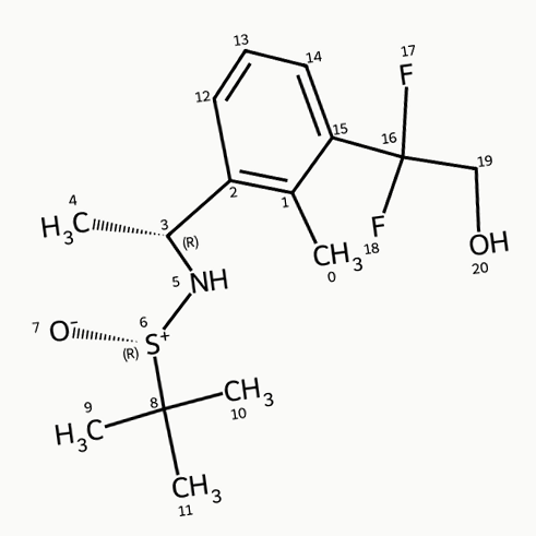 Cc1c([C@@H](C)N[S@@+]([O-])C(C)(C)C)cccc1C(F)(F)CO